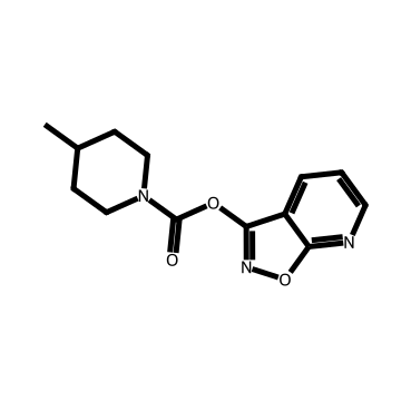 CC1CCN(C(=O)Oc2noc3ncccc23)CC1